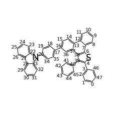 c1ccc(-c2sc3c4ccccc4c4ccc(-c5ccc(-n6c7ccccc7c7ccccc76)cc5)cc4c3c2-c2ccccc2)cc1